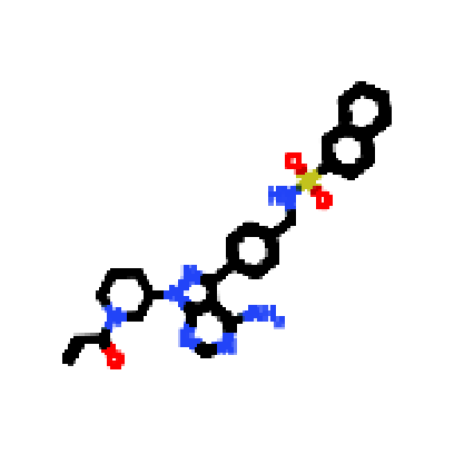 C=CC(=O)N1CCCC(n2nc(-c3ccc(CNS(=O)(=O)c4ccc5ccccc5c4)cc3)c3c(N)ncnc32)C1